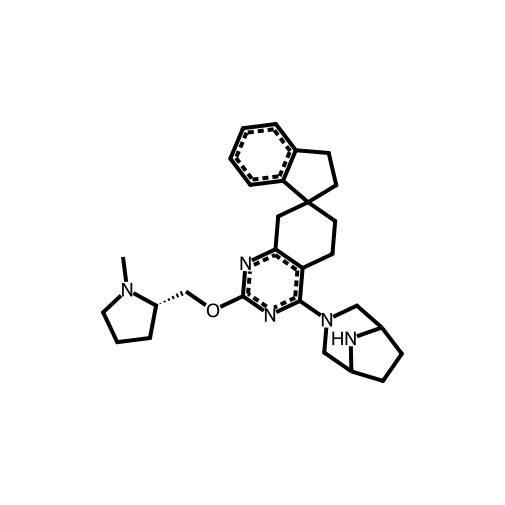 CN1CCC[C@H]1COc1nc2c(c(N3CC4CCC(C3)N4)n1)CCC1(CCc3ccccc31)C2